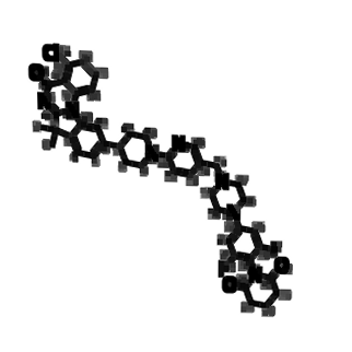 CC1(C)c2ccc(C3CCN(c4ccc(CN5CCN(c6cc(F)c(N7C(=O)CCCC7=O)c(F)c6)CC5)cn4)CC3)cc2-n2c1nc(=O)c1c(Cl)cccc12